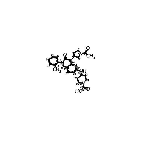 CC(=O)N1CC[C@@H](C2C(=O)N(c3ccccc3C)Cc3ccc(NC4CCN(C(=O)O)CC4)nc32)C1